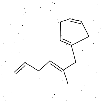 C=CCC=C(C)CC1=CCC=CC1